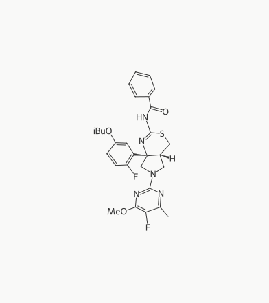 COc1nc(N2C[C@H]3CSC(NC(=O)c4ccccc4)=N[C@@]3(c3cc(OCC(C)C)ccc3F)C2)nc(C)c1F